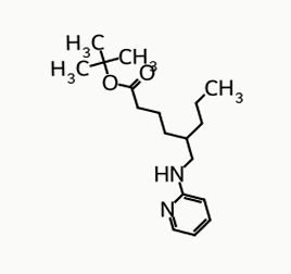 CCCC(CCCC(=O)OC(C)(C)C)CNc1ccccn1